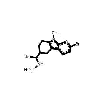 Cn1c2c(c3ccc(Br)nc31)CC(C(NC(=O)O)C(C)(C)C)CC2